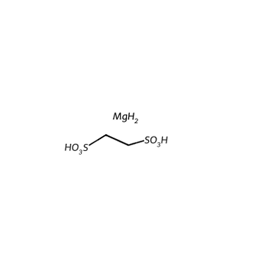 O=S(=O)(O)CCS(=O)(=O)O.[MgH2]